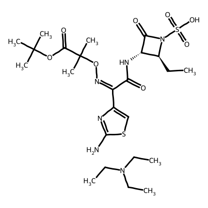 CCN(CC)CC.CC[C@H]1[C@H](NC(=O)/C(=N\OC(C)(C)C(=O)OC(C)(C)C)c2csc(N)n2)C(=O)N1S(=O)(=O)O